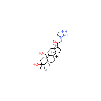 C[C@@]1(O)CC[C@]2(CO)C3CC[C@]4(C)[C@@H](C(=O)CN5CCNN5)CC[C@H]4[C@@H]3CC[C@H]2C1